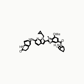 COc1cc(C(=O)N2CC3CCC2C3N)cc2nc(-c3cc4ccc(Nc5ccc6c(c5)CCC(=O)N6)nc4n3CC3CC3)n(C)c12